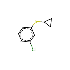 Clc1[c]ccc(SC2CC2)c1